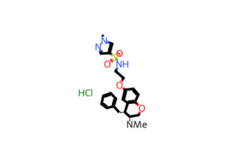 CN[C@H]1COc2ccc(OCCNS(=O)(=O)c3cnn(C)c3)cc2[C@H]1Cc1ccccc1.Cl